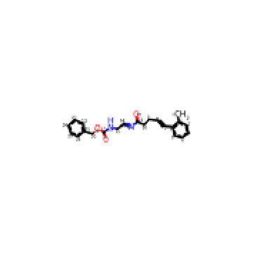 Cc1ccccc1C#CCCC(=O)/N=C/CNC(=O)OCc1ccccc1